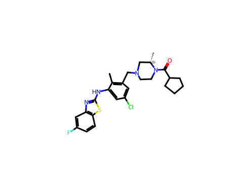 Cc1c(CN2CCN(C(=O)C3CCCC3)[C@@H](C)C2)cc(Cl)cc1Nc1nc2cc(F)ccc2s1